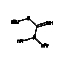 CCCCSC(=N)N(CCC)CCC